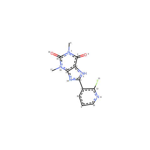 Cn1c(=O)c2[nH]c(-c3cccnc3F)nc2n(C)c1=O